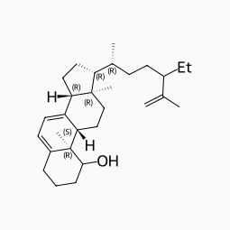 C=C(C)C(CC)CC[C@@H](C)[C@H]1CC[C@H]2C3=CC=C4CCCC(O)[C@]4(C)[C@H]3CC[C@]12C